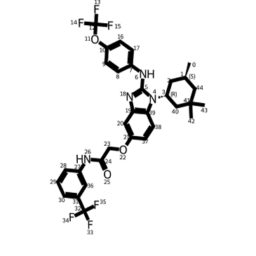 C[C@@H]1C[C@@H](n2c(Nc3ccc(OC(F)(F)F)cc3)nc3cc(OCC(=O)Nc4cccc(C(F)(F)F)c4)ccc32)CC(C)(C)C1